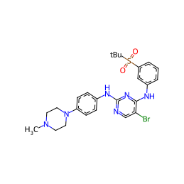 CN1CCN(c2ccc(Nc3ncc(Br)c(Nc4cccc(S(=O)(=O)C(C)(C)C)c4)n3)cc2)CC1